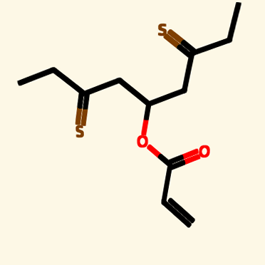 C=CC(=O)OC(CC(=S)CC)CC(=S)CC